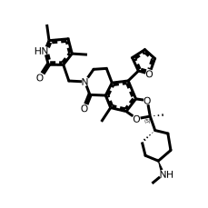 CN[C@H]1CC[C@H]([C@@]2(C)Oc3c(C)c4c(c(-c5ccco5)c3O2)CCN(Cc2c(C)cc(C)[nH]c2=O)C4=O)CC1